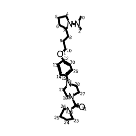 CN(C)N1CCCC1CCCOc1ccc(N2CCN(C(=O)N3CCCC3)CC2)cc1